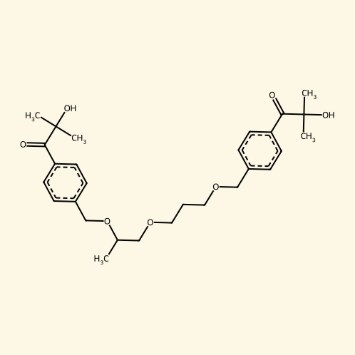 CC(COCCCOCc1ccc(C(=O)C(C)(C)O)cc1)OCc1ccc(C(=O)C(C)(C)O)cc1